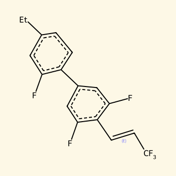 CCc1ccc(-c2cc(F)c(/C=C/C(F)(F)F)c(F)c2)c(F)c1